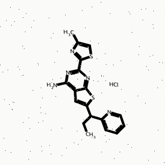 CCC(c1ccccn1)c1cc2c(N)nc(-c3nc(C)cs3)nc2s1.Cl